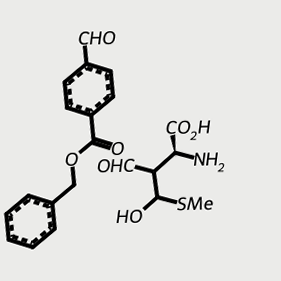 CSC(O)C(C=O)[C@H](N)C(=O)O.O=Cc1ccc(C(=O)OCc2ccccc2)cc1